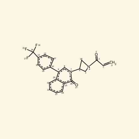 C=CC(=O)N1CC(n2cc(-c3ccc(C(F)(F)F)cc3)c3ccccc3c2=O)C1